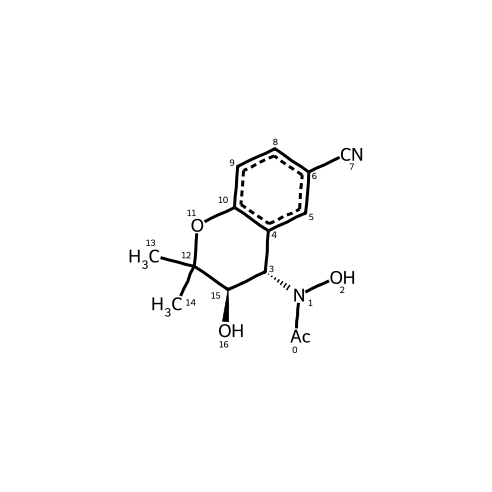 CC(=O)N(O)[C@H]1c2cc(C#N)ccc2OC(C)(C)[C@@H]1O